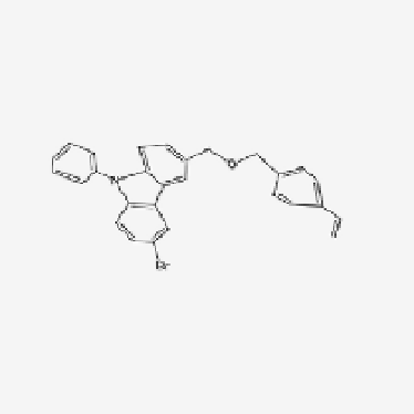 C=Cc1ccc(COCc2ccc3c(c2)c2cc(Br)ccc2n3-c2ccccc2)cc1